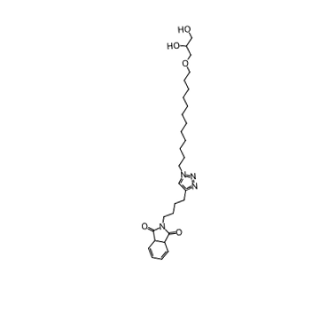 O=C1C2C=CC=CC2C(=O)N1CCCCc1cn(CCCCCCCCCCCCOCC(O)CO)nn1